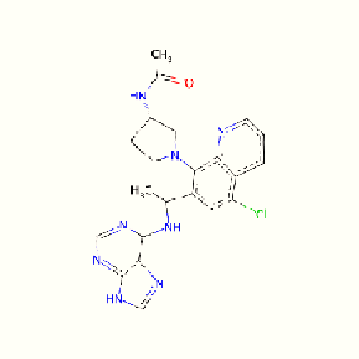 CC(=O)N[C@H]1CCN(c2c(C(C)NC3N=CN=C4NC=NC43)cc(Cl)c3cccnc23)C1